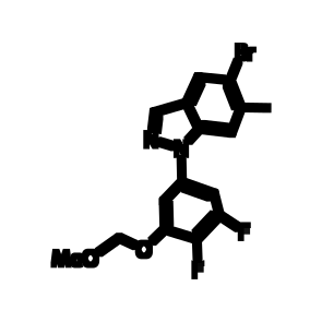 COCOc1cc(-n2ncc3cc(Br)c(C)cc32)cc(F)c1F